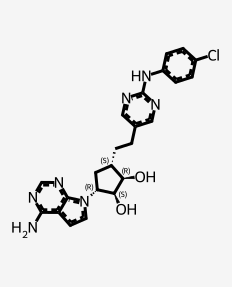 Nc1ncnc2c1ccn2[C@@H]1C[C@H](CCc2cnc(Nc3ccc(Cl)cc3)nc2)[C@@H](O)[C@H]1O